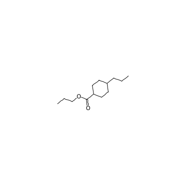 CCCOC(=O)C1CCC(CCC)CC1